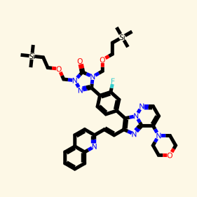 C[Si](C)(C)CCOCn1nc(-c2ccc(-c3c(C=Cc4ccc5ccccc5n4)nc4c(N5CCOCC5)ccnn34)cc2F)n(COCC[Si](C)(C)C)c1=O